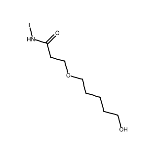 O=C(CCOCCCCCO)NI